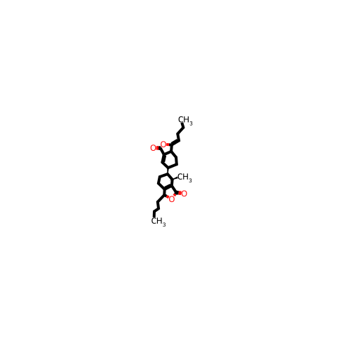 CCC/C=C1\OC(=O)C2=CC([C@@H]3CCC4=C(C(=O)OC4CCCC)[C@@H]3C)CCC21